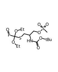 CCOC(OCC)(P=O)SCC(COS(C)(=O)=O)NC(=O)OC(C)(C)C